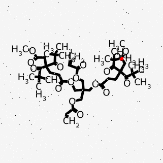 C=CC(=O)OCC(COC(=O)C=C)(COC(=O)CCC(CC(=O)OC)(C(=O)C(C)(C)C)C(=O)C(C)(C)C)COC(=O)CCC(CC(=O)OC)(C(=O)C(C)(C)C)C(=O)C(C)(C)C